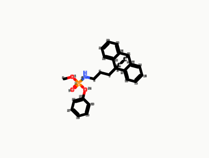 COP(=O)(NCCCC12CCC(c3ccccc31)c1ccccc12)Oc1ccccc1